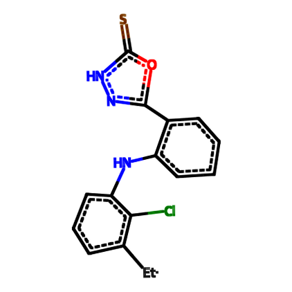 C[CH]c1cccc(Nc2ccccc2-c2n[nH]c(=S)o2)c1Cl